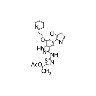 CC(=O)OC(C)c1cnc(Nc2n[nH]c3c(OCCc4ccccn4)cc(-c4ncccc4Cl)cc23)s1